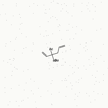 C=CCC(C=C)(CCCC)C(C)=O